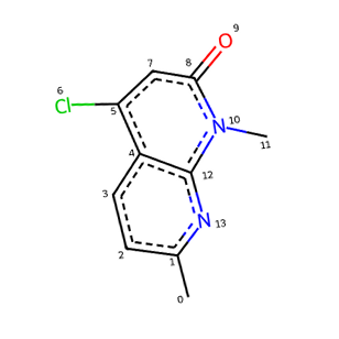 Cc1ccc2c(Cl)cc(=O)n(C)c2n1